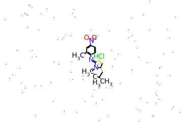 Cc1cc([N+](=O)[O-])ccc1/N=C1\SC[C@H](CC(C)C)N1C.Cl